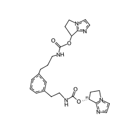 O=C(NCCCc1cccc(CCNC(=O)O[C@@H]2CCn3ccnc32)c1)OC1CCn2ccnc21